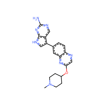 CN1CCC(Oc2cnc3ccc(-c4c[nH]c5nc(N)ncc45)cc3n2)CC1